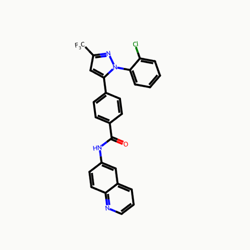 O=C(Nc1ccc2ncccc2c1)c1ccc(-c2cc(C(F)(F)F)nn2-c2ccccc2Cl)cc1